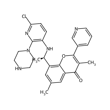 Cc1cc([C@@H](C)Nc2ccc(Cl)nc2N2CCNCC2)c2oc(-c3cccnc3)c(C)c(=O)c2c1